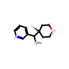 COC(c1cccnc1)C1(F)CCOCC1